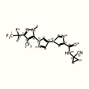 Cn1nc(C(F)(F)C(F)(F)F)c(C(F)(F)F)c1-n1cc(-n2cnc(C(=O)NC3(C#N)CC3)c2)cn1